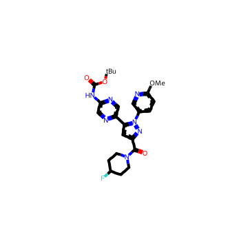 COc1ccc(-n2nc(C(=O)N3CCC(F)CC3)cc2-c2cnc(NC(=O)OC(C)(C)C)cn2)cn1